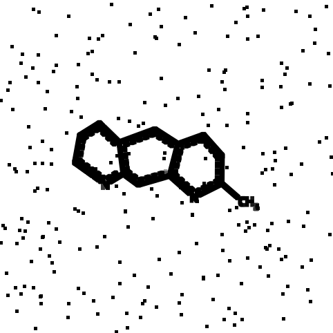 Cc1ccc2cc3cccnc3cc2n1